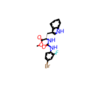 COC(=O)[C@H](Cc1c[nH]c2ccccc12)NC(=O)Nc1ccc(Br)cc1F